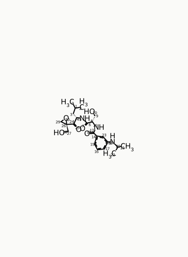 CC(C)C[C@H](NC(=O)[C@H](CO)NC(=O)c1cccc(NC(C)C)c1)C(=O)[C@]1(CO)CO1